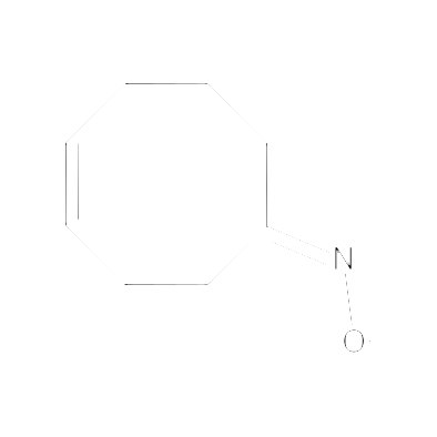 [O]N=C1CCC=CCCC1